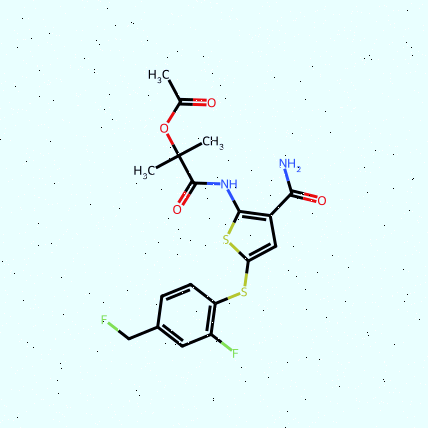 CC(=O)OC(C)(C)C(=O)Nc1sc(Sc2ccc(CF)cc2F)cc1C(N)=O